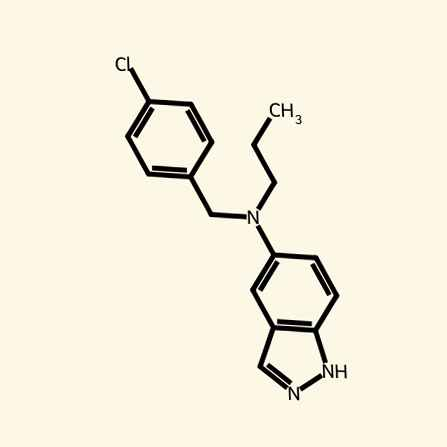 CCCN(Cc1ccc(Cl)cc1)c1ccc2[nH]ncc2c1